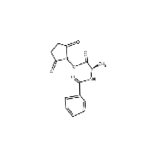 C[C@@H](NC(=O)c1ccccc1)C(=O)ON1C(=O)CCC1=O